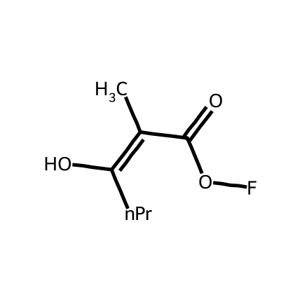 CCCC(O)=C(C)C(=O)OF